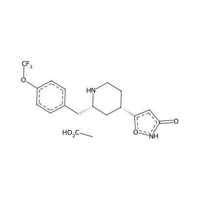 CC(=O)O.O=c1cc([C@H]2CCN[C@@H](Cc3ccc(OC(F)(F)F)cc3)C2)o[nH]1